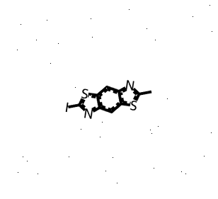 Cc1nc2cc3sc(I)nc3cc2s1